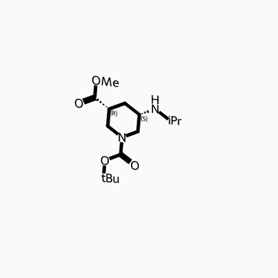 COC(=O)[C@@H]1C[C@H](NC(C)C)CN(C(=O)OC(C)(C)C)C1